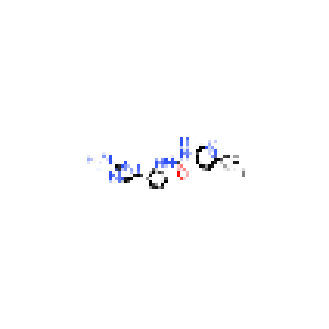 Nc1ncc(-c2cccc(NC(=O)Nc3ccc(C(F)(F)F)nc3)c2)[nH]1